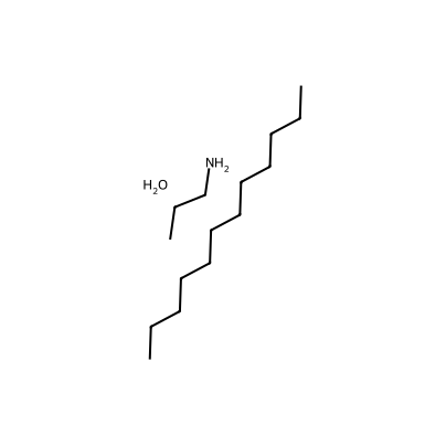 CCCCCCCCCCCC.CCCN.O